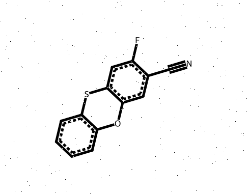 N#Cc1cc2c(cc1F)Sc1ccccc1O2